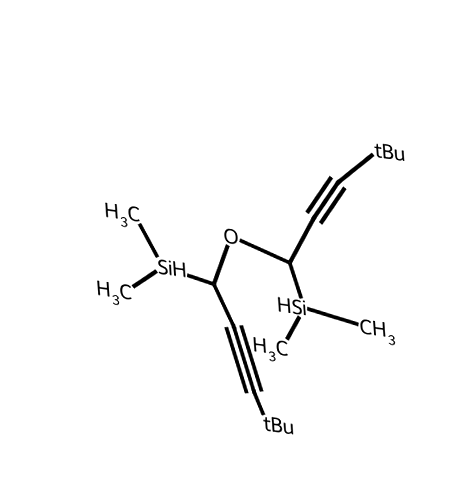 C[SiH](C)C(C#CC(C)(C)C)OC(C#CC(C)(C)C)[SiH](C)C